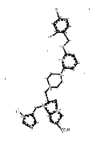 CCn1cncc1Cn1c(CN2CCN(c3cccc(OCc4ccc(Cl)cc4F)n3)CC2)cn2cc(C(=O)O)cc12